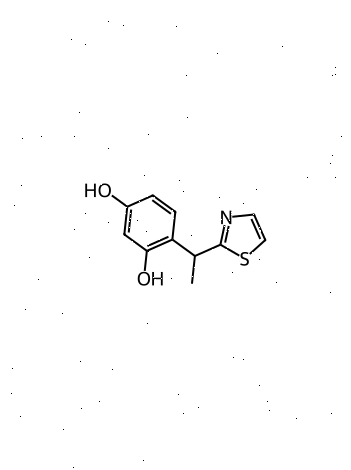 CC(c1nccs1)c1ccc(O)cc1O